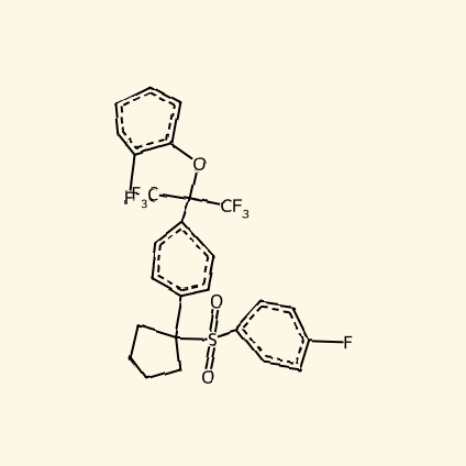 O=S(=O)(c1ccc(F)cc1)C1(c2ccc(C(Oc3ccccc3F)(C(F)(F)F)C(F)(F)F)cc2)CCCC1